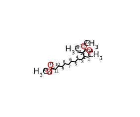 CCC(CCCCCCCCCC(=O)OC)C(CC)C(=O)OC